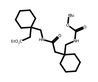 CCOC(=O)CC1(CNC(=O)CC2(CNC(=O)OC(C)(C)C)CCCCC2)CCCCC1